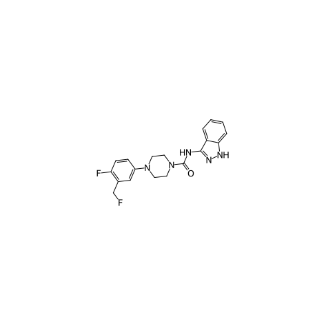 O=C(Nc1n[nH]c2ccccc12)N1CCN(c2ccc(F)c(CF)c2)CC1